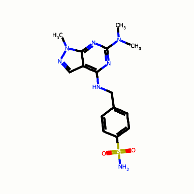 CN(C)c1nc(NCc2ccc(S(N)(=O)=O)cc2)c2cnn(C)c2n1